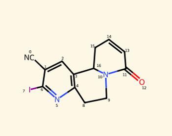 N#Cc1cc2c(nc1I)CCN1C(=O)C=CCC21